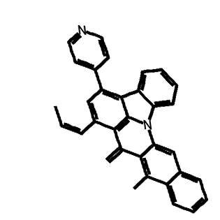 C=c1c2c(C)c3ccccc3cc2n2c3ccccc3c3c(-c4ccncc4)cc(/C=C\C)c1c32